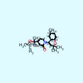 C[SiH](C)OC(C)(c1ccn(C2=CC(C)(C)Oc3ccc(C#N)cc32)c(=O)c1)C(C)(C)C